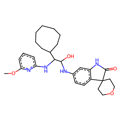 COc1cccc(NC(C2CCCCCCC2)C(O)Nc2ccc3c(c2)NC(=O)C32CCOCC2)n1